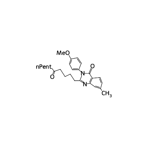 CCCCCC(=O)CCCCc1nc2cc(C)ccc2c(=O)n1-c1ccc(OC)cc1